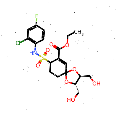 CCOC(=O)C1=CC2(CCC1S(=O)(=O)Nc1ccc(F)cc1Cl)O[C@@H](CO)[C@H](CO)O2